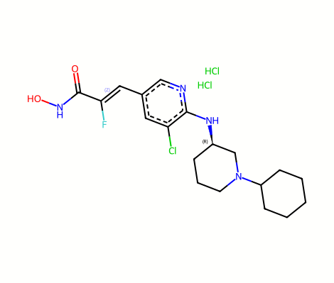 Cl.Cl.O=C(NO)/C(F)=C/c1cnc(N[C@@H]2CCCN(C3CCCCC3)C2)c(Cl)c1